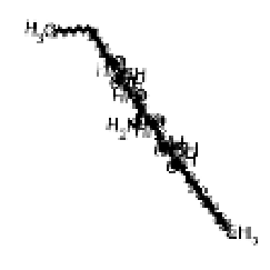 CCCCCCCC/C=C\CCCCCCCC(=O)NC(CS)C(=O)NCCNC(=O)CCN(CCN)CCC(=O)NCCNC(=O)C(CS)CNC(=O)CCCCCCCCCCCCCCCCC